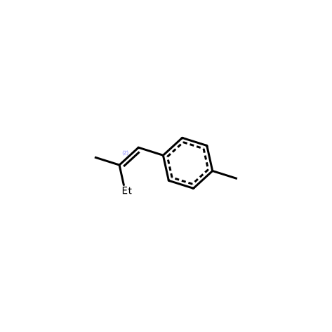 CC/C(C)=C\c1ccc(C)cc1